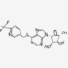 C[C@H]1O[C@@H](n2cnc3c(SCc4ccc(C(F)(F)F)nc4)ncnc32)[C@H](O)[C@@H]1O